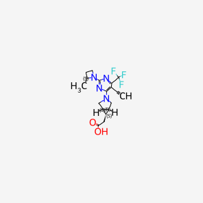 C#Cc1c(N2C[C@@H]3[C@@H](CC(=O)O)[C@@H]3C2)nc(N2CC[C@@H]2C)nc1C(F)(F)F